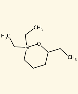 CCC1CCC[Si](CC)(CC)O1